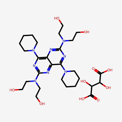 O=C(O)C(O)C(O)C(=O)O.OCCN(CCO)c1nc(N2CCCCC2)c2nc(N(CCO)CCO)nc(N3CCCCC3)c2n1